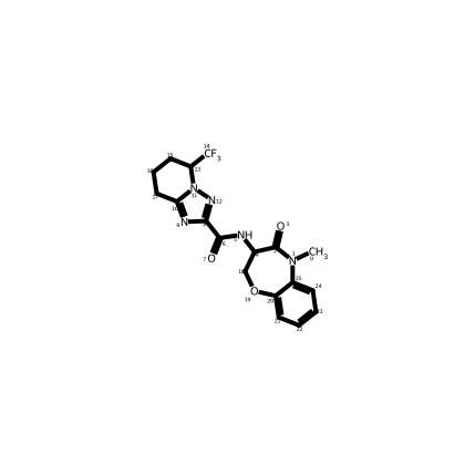 CN1C(=O)C(NC(=O)c2nc3n(n2)C(C(F)(F)F)CCC3)COc2ccccc21